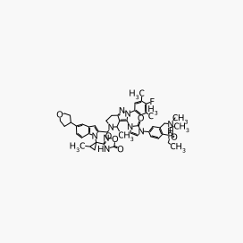 CCP(=O)(CC)c1ccc(-n2ccn(-c3c4c(nn3-c3cc(C)c(F)c(C)c3)CCN(C(=O)c3cc5cc(C6CCOCC6)ccc5n3C3(c5noc(=O)[nH]5)CC3C)C4C)c2=O)cc1CNC